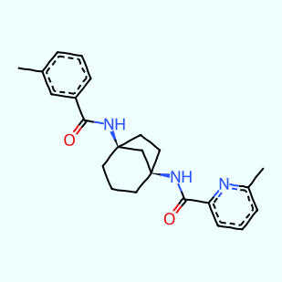 Cc1cccc(C(=O)N[C@@]23CCC[C@@](NC(=O)c4cccc(C)n4)(CC2)C3)c1